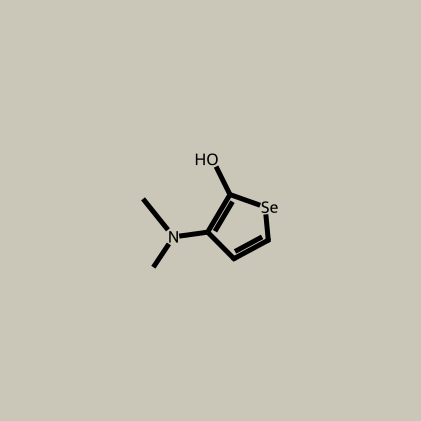 CN(C)c1cc[se]c1O